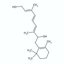 CC(=CCO)/C=C/C=C(\C)C(O)CC1=C(C)CCCC1(C)C